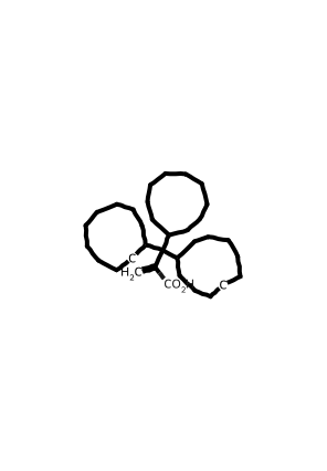 C=C(C(=O)O)C(C1CCCCCCCCC1)(C1CCCCCCCCC1)C1CCCCCCCCC1